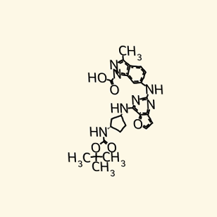 Cc1nn(C(=O)O)c2cc(Nc3nc(N[C@@H]4CC[C@H](NC(=O)OC(C)(C)C)C4)c4occc4n3)ccc12